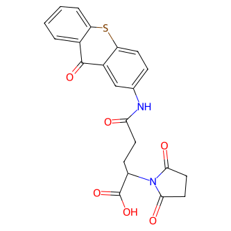 O=C(CCC(C(=O)O)N1C(=O)CCC1=O)Nc1ccc2sc3ccccc3c(=O)c2c1